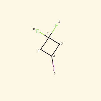 FC1(F)CC(I)C1